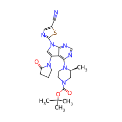 C[C@H]1CN(C(=O)OC(C)(C)C)CCN1c1ncnc2c1c(N1CCCC1=O)cn2-c1ncc(C#N)s1